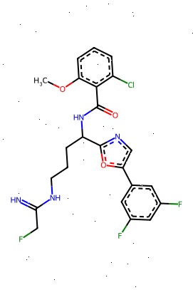 COc1cccc(Cl)c1C(=O)NC(CCCNC(=N)CF)c1ncc(-c2cc(F)cc(F)c2)o1